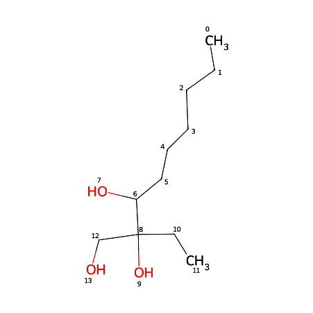 CCCCCCC(O)C(O)(CC)CO